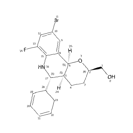 OC[C@H]1CC[C@@H]2[C@H](O1)c1cc(Br)cc(F)c1N[C@H]2C1C=CC=CC1